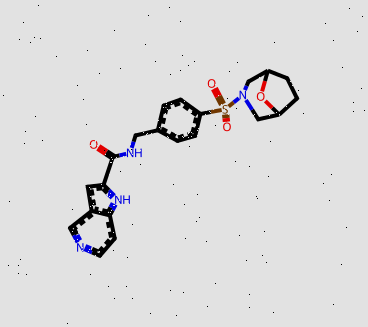 O=C(NCc1ccc(S(=O)(=O)N2CC3CCC(C2)O3)cc1)c1cc2cnccc2[nH]1